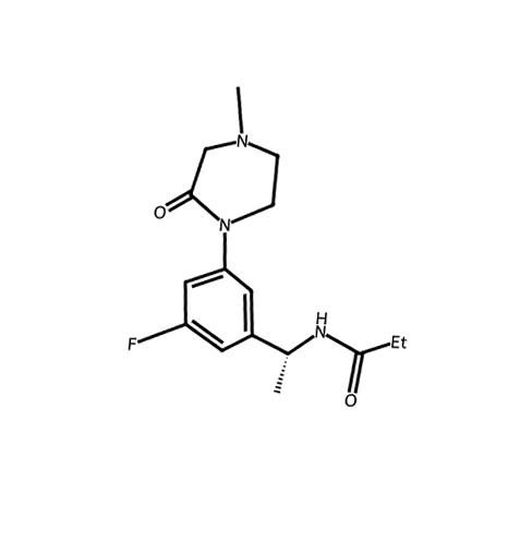 CCC(=O)N[C@H](C)c1cc(F)cc(N2CCN(C)CC2=O)c1